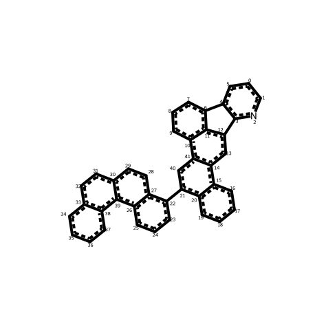 c1cnc2c(c1)-c1cccc3c1c-2cc1c2ccccc2c(-c2cccc4c2ccc2ccc5ccccc5c24)cc31